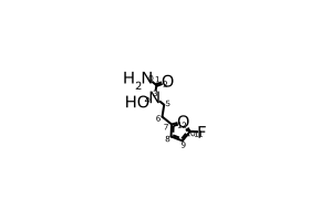 NC(=O)N(O)CCc1ccc(F)o1